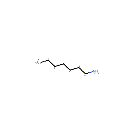 CCCCCCC[CH]CCN